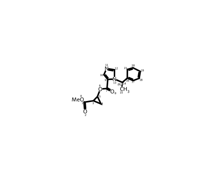 COC(=O)C1CC1OC(=O)c1cncn1[C@H](C)c1ccccc1